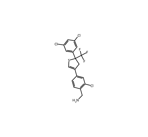 NCc1ccc(C2=CSC(c3cc(Cl)cc(Cl)c3)(C(F)(F)F)C2)cc1Cl